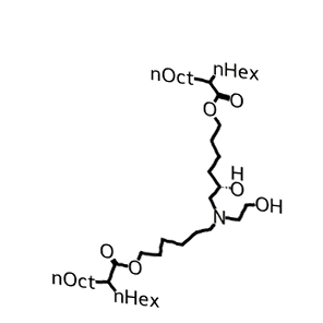 CCCCCCCCC(CCCCCC)C(=O)OCCCCCCN(CCO)C[C@@H](O)CCCCOC(=O)C(CCCCCC)CCCCCCCC